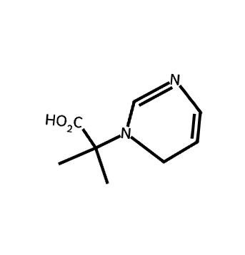 CC(C)(C(=O)O)N1C=NC=CC1